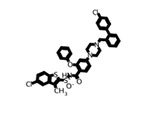 Cc1c([S+]([O-])NC(=O)c2ccc(N3CCN(Cc4ccccc4-c4ccc(Cl)cc4)CC3)cc2Oc2ccccc2)sc2ccc(Cl)cc12